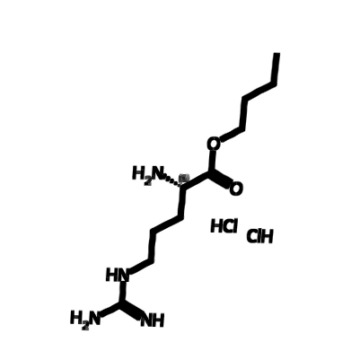 CCCCOC(=O)[C@@H](N)CCCNC(=N)N.Cl.Cl